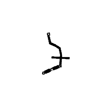 CC(C)(CCCl)N=C=O